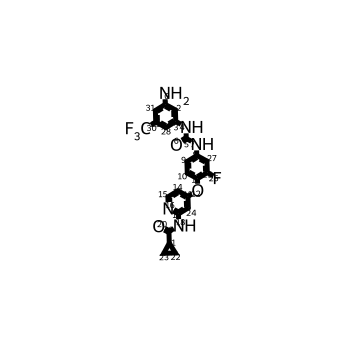 Nc1cc(NC(=O)Nc2ccc(Oc3ccnc(NC(=O)C4CC4)c3)c(F)c2)cc(C(F)(F)F)c1